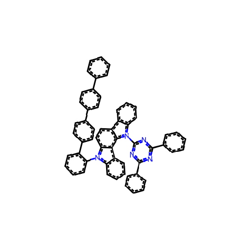 c1ccc(-c2ccc(-c3ccc(-c4ccccc4-n4c5ccccc5c5c4ccc4c6ccccc6n(-c6nc(-c7ccccc7)nc(-c7ccccc7)n6)c45)cc3)cc2)cc1